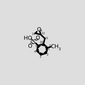 Cc1cccc(S(=O)(=O)O)c1CC1CO1